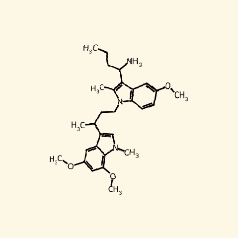 CCCC(N)c1c(C)n(CCC(C)c2cn(C)c3c(OC)cc(OC)cc23)c2ccc(OC)cc12